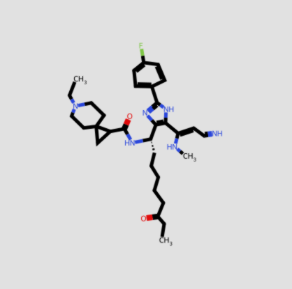 CCC(=O)CCCCC[C@H](NC(=O)C1CC12CCN(CC)CC2)c1nc(-c2ccc(F)cc2)[nH]c1/C(=C/C=N)NC